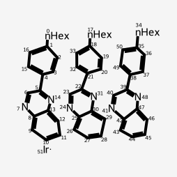 CCCCCCc1ccc(-c2cnc3ccccc3n2)cc1.CCCCCCc1ccc(-c2cnc3ccccc3n2)cc1.CCCCCCc1ccc(-c2cnc3ccccc3n2)cc1.[Ir]